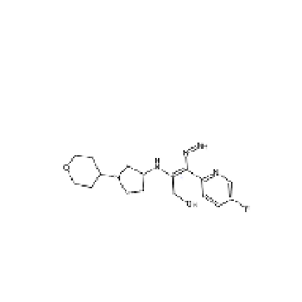 N=N/C(=C(/CO)NC1CCN(C2CCOCC2)C1)c1ccc(F)cn1